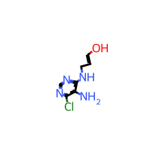 Nc1c(Cl)ncnc1NCC=CO